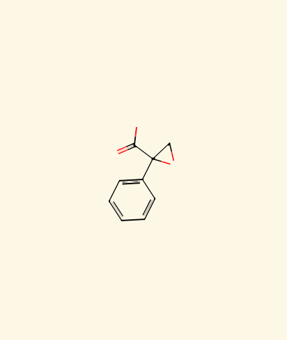 O=C(O)C1(c2ccccc2)CO1